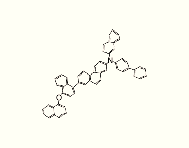 c1ccc(-c2ccc(N(c3ccc4ccccc4c3)c3ccc4c(ccc5cc(-c6ccc(Oc7cccc8ccccc78)c7ccccc67)ccc54)c3)cc2)cc1